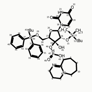 C1CCC2=NCCCN2CC1.CC(C)(C)[Si](C)(C)O[C@H]1[C@H](n2ccc(=O)[nH]c2=O)O[C@H](CO[Si](c2ccccc2)(c2ccccc2)C(C)(C)C)[C@@]1(O)O[PH](=O)O